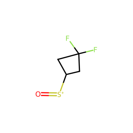 O=[S+]C1CC(F)(F)C1